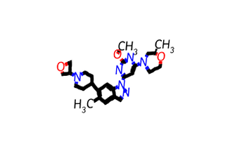 COc1nc(N2CCO[C@H](C)C2)cc(-n2ncc3cc(C)c(C4CCN(C5COC5)CC4)cc32)n1